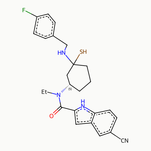 CCN(C(=O)c1cc2cc(C#N)ccc2[nH]1)[C@H]1CCCC(S)(NCc2ccc(F)cc2)C1